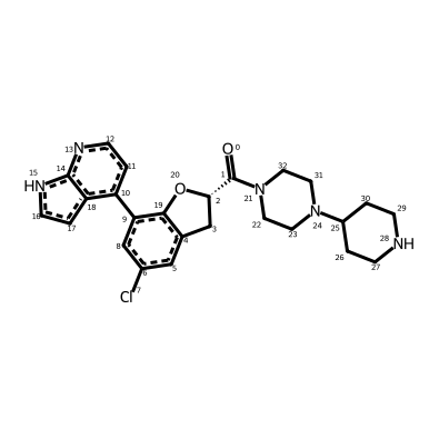 O=C([C@@H]1Cc2cc(Cl)cc(-c3ccnc4[nH]ccc34)c2O1)N1CCN(C2CCNCC2)CC1